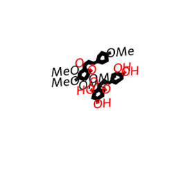 COc1ccc(-c2cc(=O)c3c(OC)c(OC)c(OC)c(OC)c3o2)cc1.O=c1cc(-c2ccc(O)c(O)c2)oc2cc(O)cc(O)c12